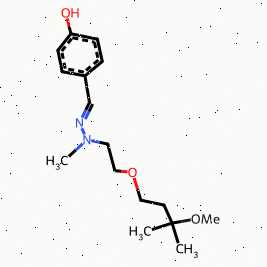 COC(C)(C)CCOCCN(C)/N=C/c1ccc(O)cc1